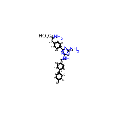 Cc1ccc(-c2ccc(CNc3nc(N)nc(-c4ccc(CC(N)C(=O)O)cc4)n3)cc2)cc1